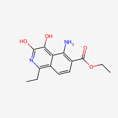 CCOC(=O)c1ccc2c(CC)nc(O)c(O)c2c1N